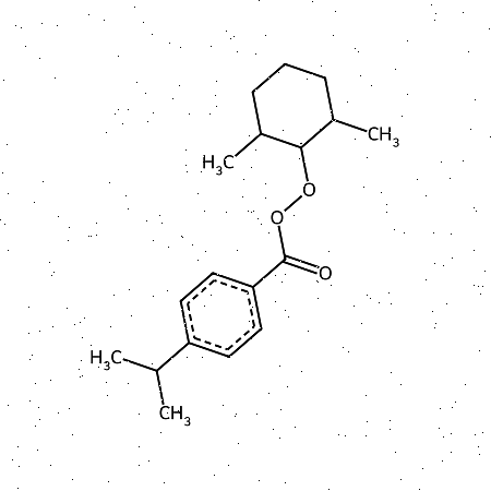 CC1CCCC(C)[C]1OOC(=O)c1ccc(C(C)C)cc1